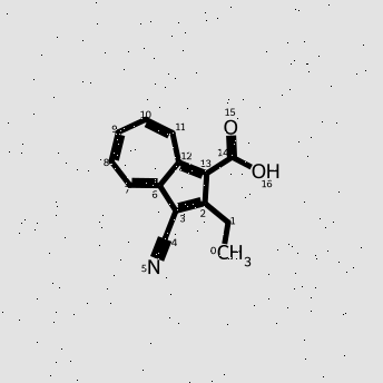 CCc1c(C#N)c2cccccc-2c1C(=O)O